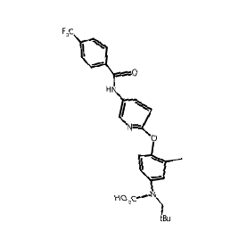 Cc1cc(N(CC(C)(C)C)C(=O)O)ccc1Oc1ccc(NC(=O)c2ccc(C(F)(F)F)cc2)cn1